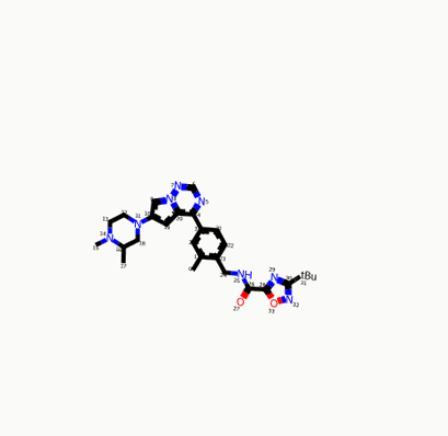 Cc1cc(-c2ncnn3cc(N4CCN(C)C(C)C4)cc23)ccc1CNC(=O)c1nc(C(C)(C)C)no1